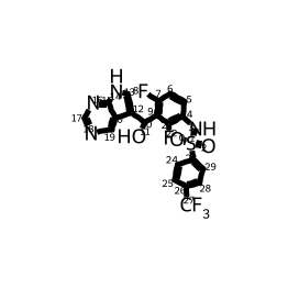 O=S(=O)(Nc1ccc(F)c(C(O)c2c[nH]c3ncncc23)c1F)c1ccc(C(F)(F)F)cc1